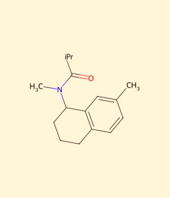 Cc1ccc2c(c1)C(N(C)C(=O)C(C)C)CCC2